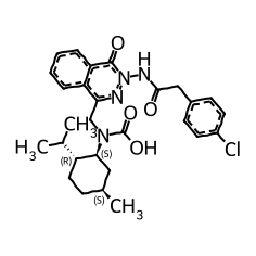 CC(C)[C@H]1CC[C@H](C)C[C@@H]1N(Cc1nn(NC(=O)Cc2ccc(Cl)cc2)c(=O)c2ccccc12)C(=O)O